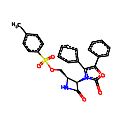 Cc1ccc(S(=O)(=O)OC[C@@H]2NC(=O)[C@@H]2n2c(-c3ccccc3)c(-c3ccccc3)oc2=O)cc1